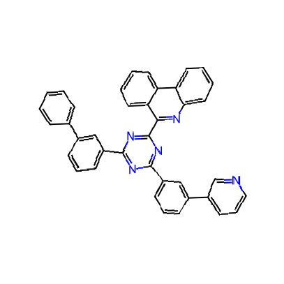 c1ccc(-c2cccc(-c3nc(-c4cccc(-c5cccnc5)c4)nc(-c4nc5ccccc5c5ccccc45)n3)c2)cc1